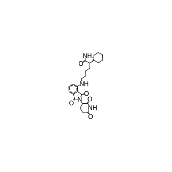 NC(=O)C(CCCCNc1cccc2c1C(=O)N(C1CCC(=O)NC1=O)C2=O)C1CCCCC1